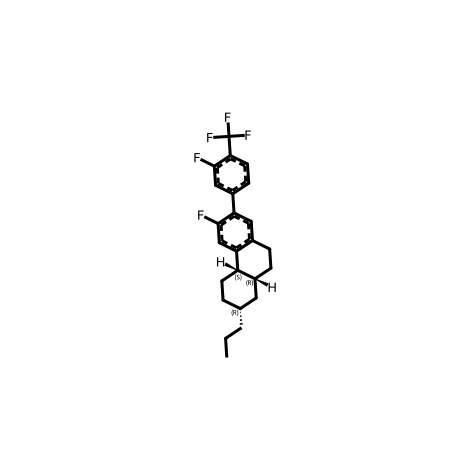 CCC[C@@H]1CC[C@@H]2c3cc(F)c(-c4ccc(C(F)(F)F)c(F)c4)cc3CC[C@@H]2C1